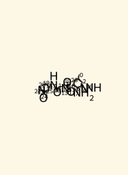 Cc1cc(N=N)c(N)c(S(=O)(=O)N(C)CC(=O)Nc2ccn(C)c(=O)c2)c1